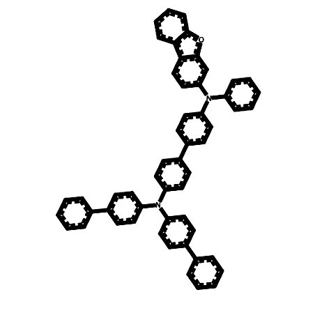 c1ccc(-c2ccc(N(c3ccc(-c4ccccc4)cc3)c3ccc(-c4ccc(N(c5ccccc5)c5ccc6c(c5)oc5ccccc56)cc4)cc3)cc2)cc1